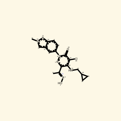 C/C(=N\O)c1nn(-c2ccc3nn(C)cc3c2)c(=O)c(Cl)c1NCC1CC1